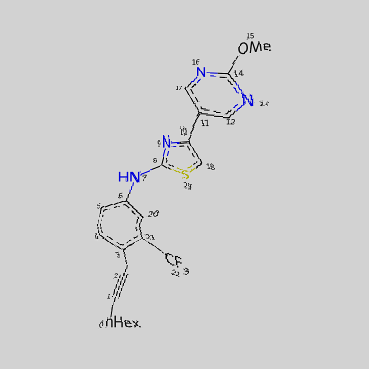 CCCCCCC#Cc1ccc(Nc2nc(-c3cnc(OC)nc3)cs2)cc1C(F)(F)F